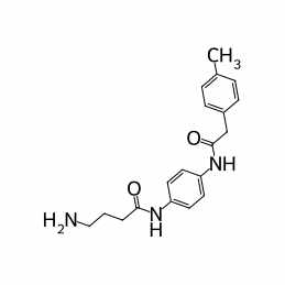 Cc1ccc(CC(=O)Nc2ccc(NC(=O)CCCN)cc2)cc1